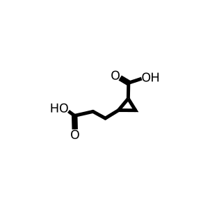 O=C(O)CCC1CC1C(=O)O